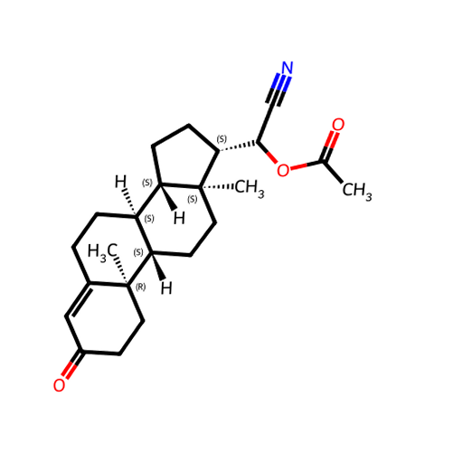 CC(=O)OC(C#N)[C@H]1CC[C@H]2[C@@H]3CCC4=CC(=O)CC[C@]4(C)[C@H]3CC[C@]12C